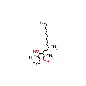 Cc1c(C)c(O)c(CCC(C)CCCCCCCCC(F)(F)F)c(C)c1O